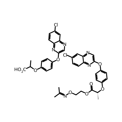 CC(C)=NOCCOC(=O)[C@@H](C)Oc1ccc(Oc2cnc3cc(Cl)ccc3n2)cc1.CC(Oc1ccc(Oc2cnc3cc(Cl)ccc3n2)cc1)C(=O)O